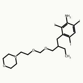 CCC(COCOCCN1CCOCC1)Cc1c(I)cc(I)c(N)c1I